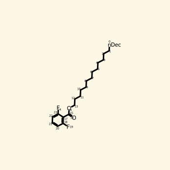 CCCCCCCCCCCCCCCCCCCCCCCOC(=O)c1c(F)cccc1F